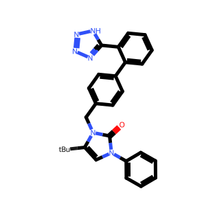 CC(C)(C)c1cn(-c2ccccc2)c(=O)n1Cc1ccc(-c2ccccc2-c2nnn[nH]2)cc1